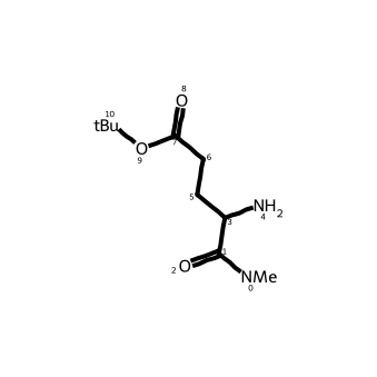 CNC(=O)C(N)CCC(=O)OC(C)(C)C